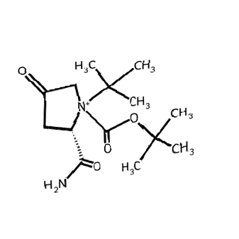 CC(C)(C)OC(=O)[N+]1(C(C)(C)C)CC(=O)C[C@H]1C(N)=O